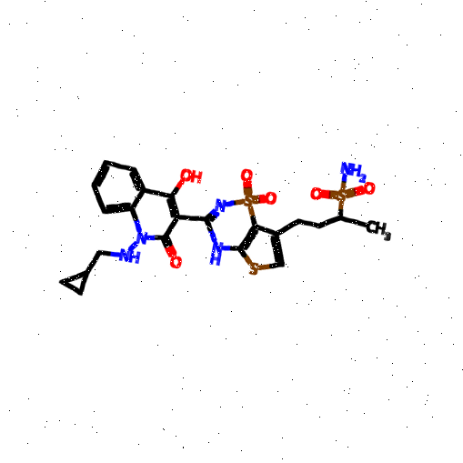 CC(CCc1csc2c1S(=O)(=O)N=C(c1c(O)c3ccccc3n(NCC3CC3)c1=O)N2)S(N)(=O)=O